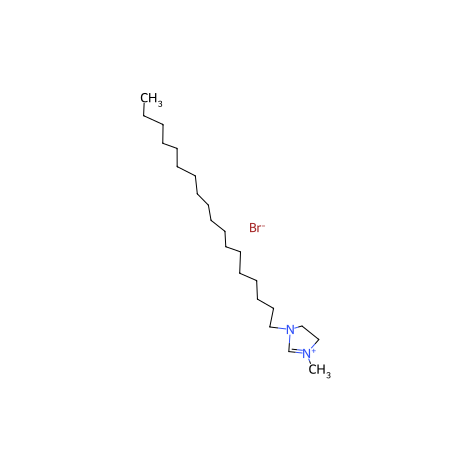 CCCCCCCCCCCCCCCCCCN1C=[N+](C)CC1.[Br-]